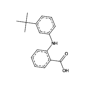 CC(C)(C)c1cccc(Nc2ccccc2C(=O)O)c1